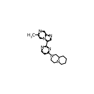 Cc1cn2c(-c3nccc(N4CCN5CCCCC5C4)n3)cnc2cn1